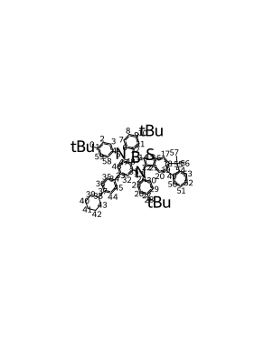 CC(C)(C)c1ccc(N2c3ccc(C(C)(C)C)cc3B3c4sc5cc6c(cc5c4N(c4ccc(C(C)(C)C)cc4)c4cc(-c5ccc(C7CCCCC7)cc5)cc2c43)-c2ccccc2C6(C)C)cc1